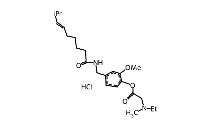 CCN(C)CC(=O)Oc1ccc(CNC(=O)CCCC/C=C/C(C)C)cc1OC.Cl